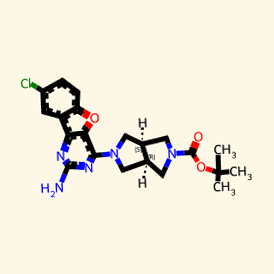 CC(C)(C)OC(=O)N1C[C@@H]2CN(c3nc(N)nc4c3oc3ccc(Cl)cc34)C[C@@H]2C1